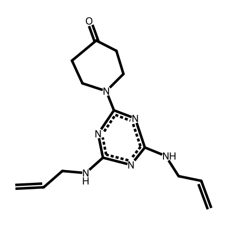 C=CCNc1nc(NCC=C)nc(N2CCC(=O)CC2)n1